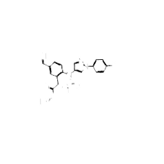 C=Cc1ccc(N(c2cnn(-c3ccc(Cl)cc3)c2)[SH](=O)=O)c(CC(=O)OC)c1